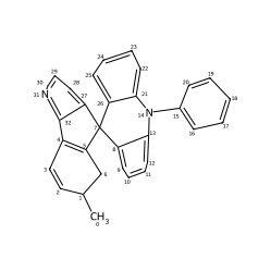 CC1C=CC2=C(C1)C1(c3ccccc3N(c3ccccc3)c3ccccc31)c1cccnc12